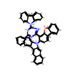 c1ccc(-c2nc(-c3c(-n4c5ccccc5c5cc6ccccc6cc54)ccc4c3oc3ccccc34)nc(-n3c4ccccc4c4ccccc43)n2)cc1